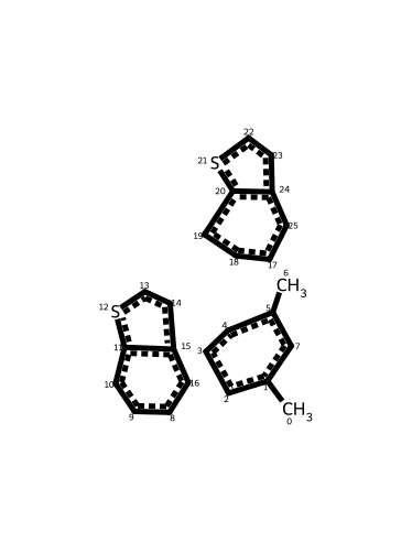 Cc1cccc(C)c1.c1ccc2sccc2c1.c1ccc2sccc2c1